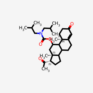 CC(=O)[C@H]1CCC2C3CCC4=CC(=O)CC[C@]4(C)C3C(OC(=O)N(CC(C)C)CC(C)C)C[C@@]21C